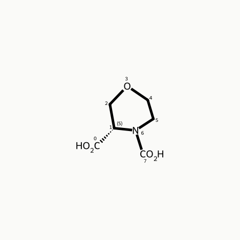 O=C(O)[C@@H]1COCCN1C(=O)O